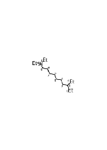 CCC(CC)CCCCCCCN(CC)CC